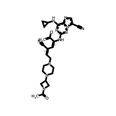 C=C(Cl)/C(=C\C(C#N)=C/CN1CCN(C2CN(C(C)=O)C2)CC1)Nc1nc(NC2CC2)c2ncc(C#N)n2n1